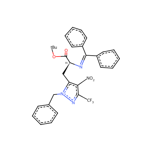 CC(C)(C)OC(=O)[C@H](Cc1c([N+](=O)[O-])c(C(F)(F)F)nn1Cc1ccccc1)N=C(c1ccccc1)c1ccccc1